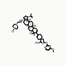 C=C(C)[C@@H]1CC[C@]2(NCCN3CC[S+]([O-])CC3)CC[C@]3(C)[C@H](CC[C@@H]4[C@@]5(C)CC=C(C6=CCC(CCOc7nccc(OC)n7)(C(=O)O)CC6)C(C)(C)[C@@H]5CC[C@]43C)[C@@H]12